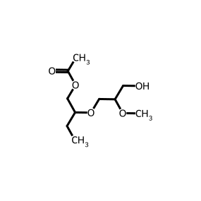 CCC(COC(C)=O)OCC(CO)OC